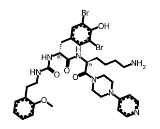 COc1ccccc1CCNC(=O)N[C@H](Cc1cc(Br)c(O)c(Br)c1)C(=O)N[C@@H](CCCCN)C(=O)N1CCN(c2ccncc2)CC1